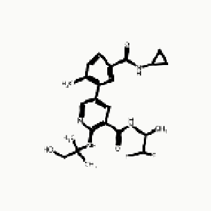 Cc1ccc(C(=O)NC2CC2)cc1-c1cnc(NC(C)(C)CO)c(C(=O)NC(C)C(F)F)c1